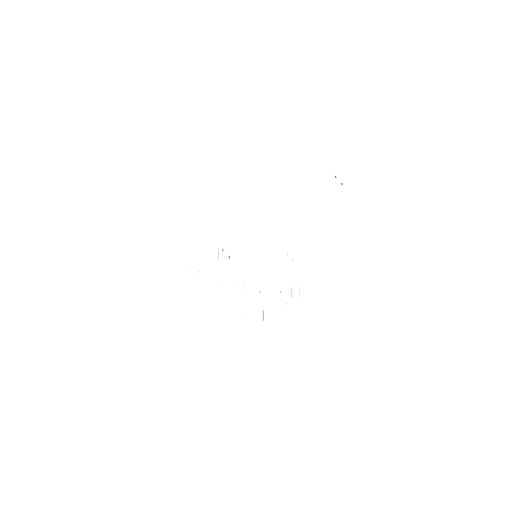 Cc1ccccc1S(=O)(=O)Nc1cc(-c2ccncc2)sc1C(=O)O